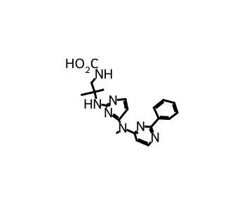 CN(c1ccnc(NC(C)(C)CNC(=O)O)n1)c1ccnc(-c2ccccc2)n1